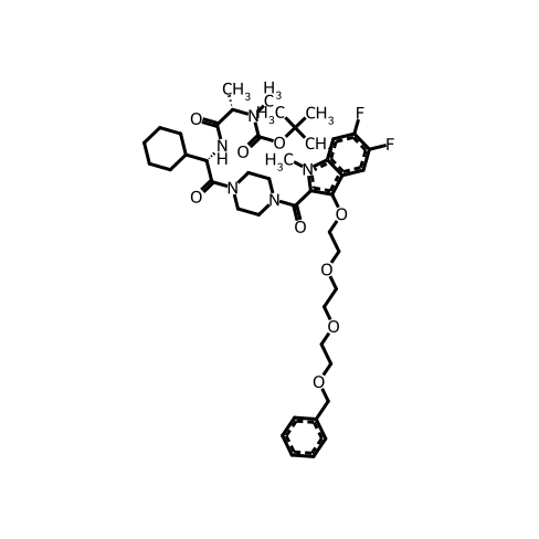 C[C@@H](C(=O)N[C@H](C(=O)N1CCN(C(=O)c2c(OCCOCCOCCOCc3ccccc3)c3cc(F)c(F)cc3n2C)CC1)C1CCCCC1)N(C)C(=O)OC(C)(C)C